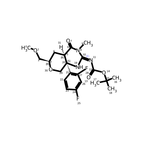 COC[C@H]1C[C@H]2C(=O)N(C)/C(=N/C(=O)OC(C)(C)C)N[C@@]2(c2ccc(F)cc2F)CO1